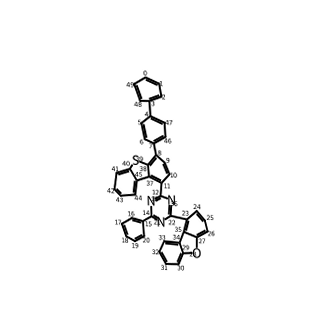 c1ccc(-c2ccc(-c3ccc(-c4nc(-c5ccccc5)nc(-c5cccc6oc7ccccc7c56)n4)c4c3sc3ccccc34)cc2)cc1